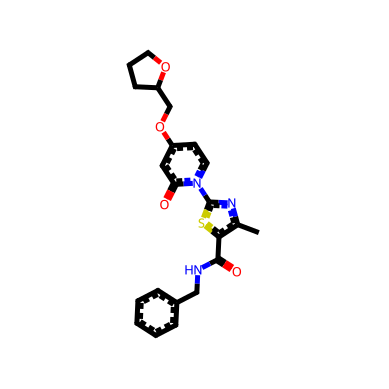 Cc1nc(-n2ccc(OCC3CCCO3)cc2=O)sc1C(=O)NCc1ccccc1